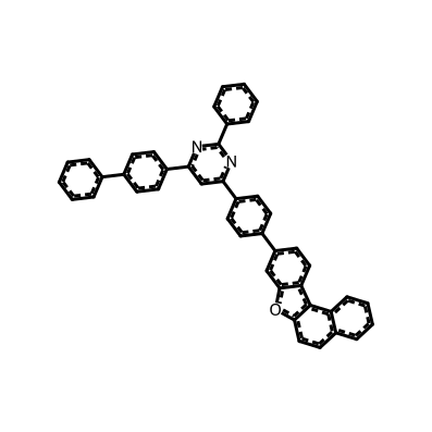 c1ccc(-c2ccc(-c3cc(-c4ccc(-c5ccc6c(c5)oc5ccc7ccccc7c56)cc4)nc(-c4ccccc4)n3)cc2)cc1